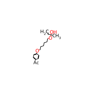 C=CC(C)(O)OCCCCCCOc1ccc(C(C)=O)cc1